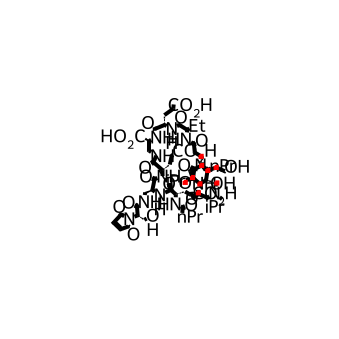 CCCC(=O)N[C@@H](CCC(=O)O)C(=O)N[C@@H](CNC(=O)[C@H](CO)N1C(=O)C=CC1=O)C(=O)N[C@@H](CCC(=O)O)C(=O)NC[C@H](NC(=O)[C@H](CCC(=O)O)NC(=O)C(CC)NC(=O)CC[C@H](CCCO)CC(=O)C[C@@H](O)[C@H](CCC)N(C)C(=O)C(NC(=O)[C@H](C(C)C)N(C)C)C(C)C)C(=O)O